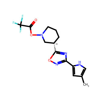 Cc1c[nH]c(-c2noc([C@H]3CCCN(OC(=O)C(F)(F)F)C3)n2)c1